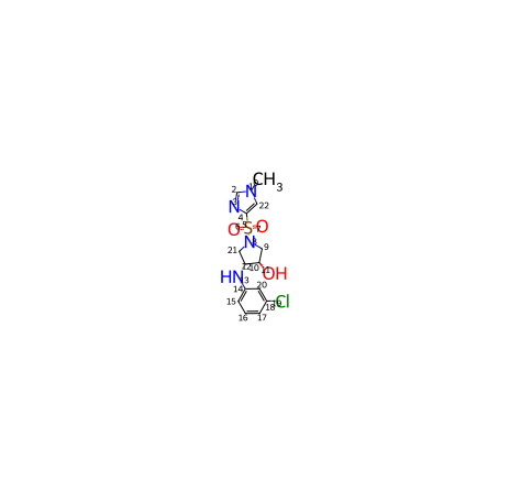 Cn1cnc(S(=O)(=O)N2C[C@@H](O)[C@H](Nc3cccc(Cl)c3)C2)c1